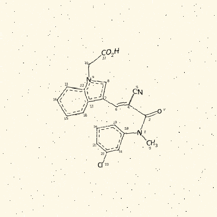 CN(C(=O)/C(C#N)=C/c1cn(CC(=O)O)c2ccccc12)c1cccc(Cl)c1